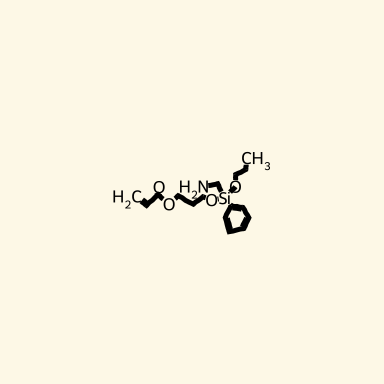 C=CC(=O)OCCCO[Si](CN)(OCCC)c1ccccc1